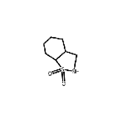 O=S1(=O)NCC2CCCCC21